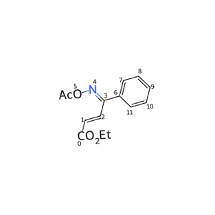 CCOC(=O)/C=C/C(=N\OC(C)=O)c1ccccc1